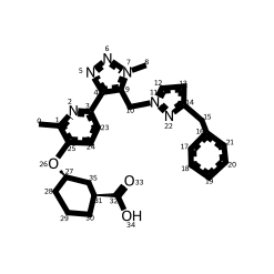 Cc1nc(-c2nnn(C)c2Cn2ccc(Cc3ccccc3)n2)ccc1O[C@H]1CCC[C@H](C(=O)O)C1